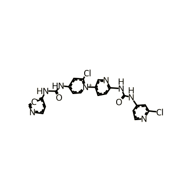 O=C(Nc1ccncc1)Nc1cc[n+](-c2ccc(NC(=O)Nc3ccnc(Cl)c3)nc2)c(Cl)c1